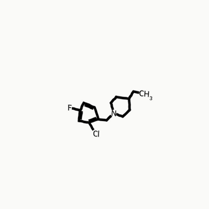 CCC1CCN(Cc2ccc(F)cc2Cl)CC1